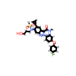 CNC(=O)c1c2cc(C3CC3)c(N(CCCO)S(C)(=O)=O)cc2nn1-c1ccc(Oc2ccc(F)cc2)cc1